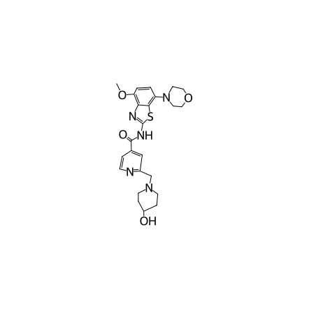 COc1ccc(N2CCOCC2)c2sc(NC(=O)c3ccnc(CN4CCC(O)CC4)c3)nc12